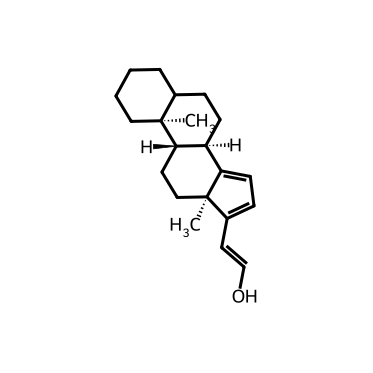 C[C@]12CC[C@H]3[C@@H](CCC4CCCC[C@@]43C)C1=CC=C2C=CO